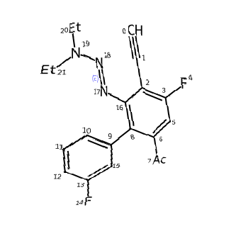 C#Cc1c(F)cc(C(C)=O)c(-c2cccc(F)c2)c1/N=N/N(CC)CC